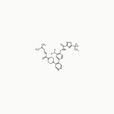 CN(C)C/C=C/C(=O)N1CCN(c2cnccc2-c2ccc(CNC(=O)c3noc(C4(C)CC4)n3)c(C(F)F)c2)CC1